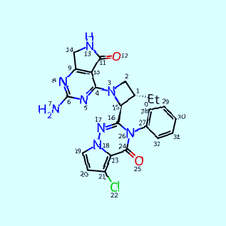 CC[C@H]1CN(c2nc(N)nc3c2C(=O)NC3)[C@@H]1c1nn2ccc(Cl)c2c(=O)n1-c1ccccc1